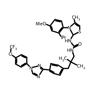 COc1ccc(N2C(C)=CSC2NC(=O)NCC(C)(C)Cc2ccc(-c3ncn(-c4ccc(OC(F)(F)F)cc4)n3)cc2)c(C(C)C)c1